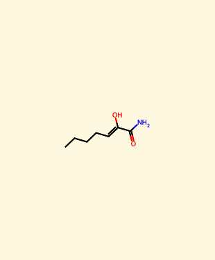 CCCCC=C(O)C(N)=O